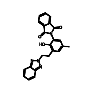 Cc1cc(CCn2nc3ccccc3n2)c(O)c(N2C(=O)c3ccccc3C2=O)c1